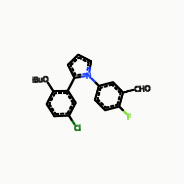 CC(C)COc1ccc(Cl)cc1-c1cccn1-c1ccc(F)c(C=O)c1